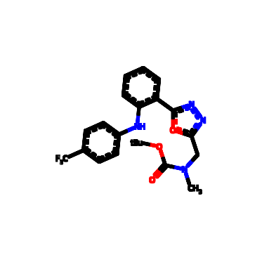 CN(Cc1nnc(-c2ccccc2Nc2ccc(C(F)(F)F)cc2)o1)C(=O)OC(C)(C)C